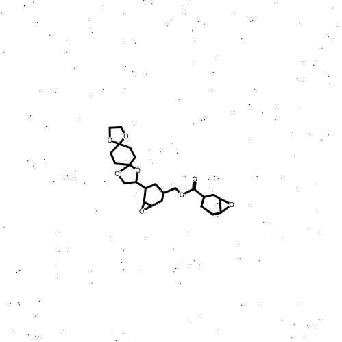 O=C(OCC1CC2OC2C(C2COC3(CCC4(CC3)OCCO4)O2)C1)C1CCC2OC2C1